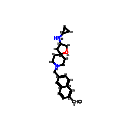 O=Cc1ccc2cc(CN3CCC4(CC3)CC(NC3CC3)CO4)ccc2c1